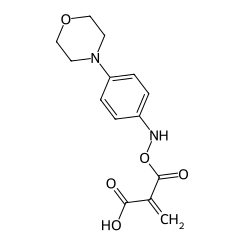 C=C(C(=O)O)C(=O)ONc1ccc(N2CCOCC2)cc1